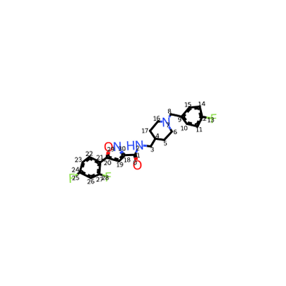 O=C(NCC1CCN(Cc2ccc(F)cc2)CC1)c1cc(-c2ccc(F)cc2F)on1